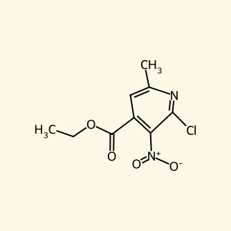 CCOC(=O)c1cc(C)nc(Cl)c1[N+](=O)[O-]